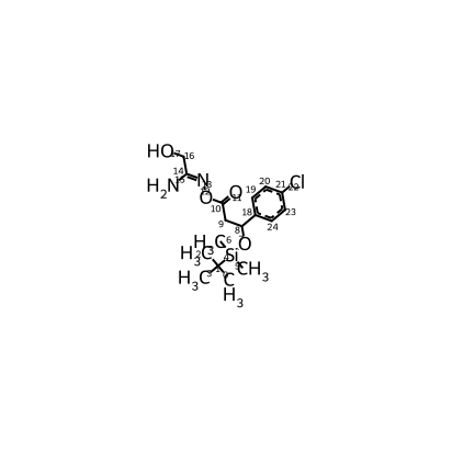 CC(C)(C)[Si](C)(C)OC(CC(=O)ON=C(N)CO)c1ccc(Cl)cc1